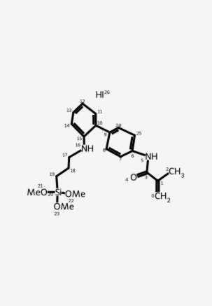 C=C(C)C(=O)Nc1ccc(-c2ccccc2NCCC[Si](OC)(OC)OC)cc1.I